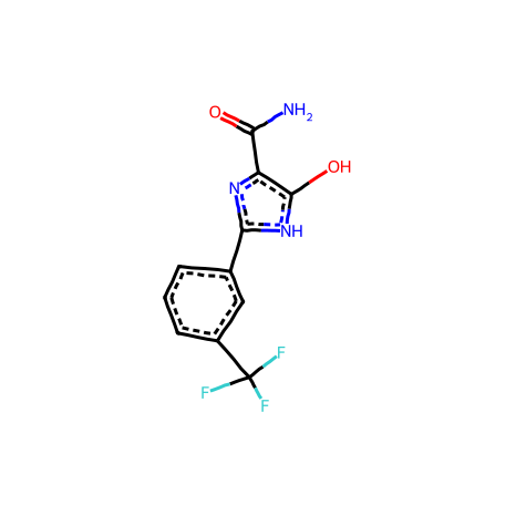 NC(=O)c1nc(-c2cccc(C(F)(F)F)c2)[nH]c1O